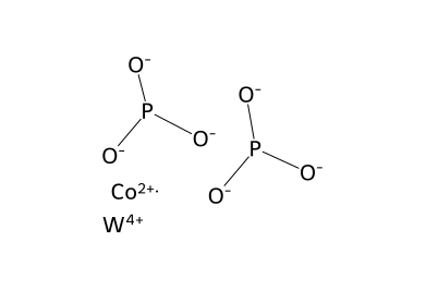 [Co+2].[O-]P([O-])[O-].[O-]P([O-])[O-].[W+4]